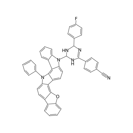 N#Cc1ccc(C2=NC(c3ccc(F)cc3)NC(n3c4ccccc4c4c5c(ccc43)c3c4oc6ccccc6c4ccc3n5-c3ccccc3)N2)cc1